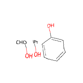 CC(C)O.O=CO.Oc1ccccc1